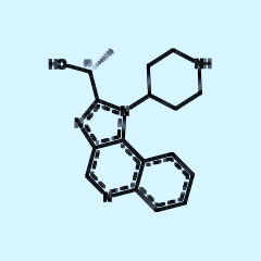 C[C@@H](O)c1nc2cnc3ccccc3c2n1C1CCNCC1